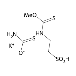 COC(=S)NCCS(=O)(=O)O.NC([O-])=S.[K+]